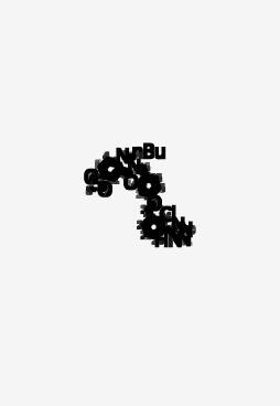 CCCCc1nc2ccc(S(C)(=O)=O)cc2c(=O)n1Cc1ccc(OCc2cccc(-c3nnn[nH]3)c2Cl)cc1